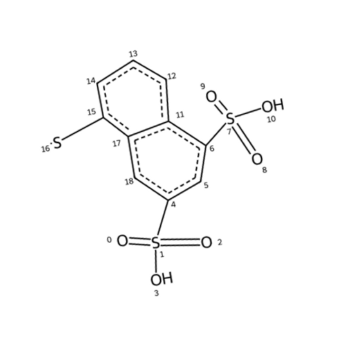 O=S(=O)(O)c1cc(S(=O)(=O)O)c2cccc([S])c2c1